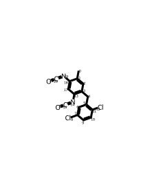 Cc1cc(Cc2cc(Cl)ccc2Cl)c(N=C=O)cc1N=C=O